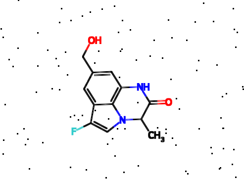 CC1C(=O)Nc2cc(CO)cc3c(F)cn1c23